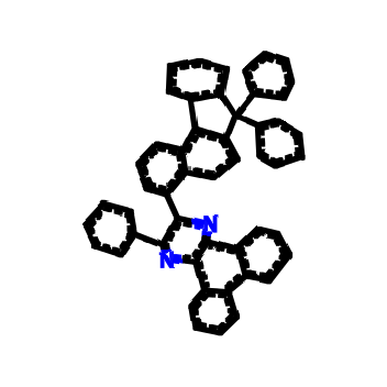 c1ccc(-c2nc3c4ccccc4c4ccccc4c3nc2-c2cccc3c4c(ccc23)C(c2ccccc2)(c2ccccc2)c2ccccc2-4)cc1